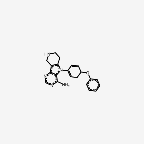 Nc1ncnc2c3c(n(C4=CCC(Oc5ccccc5)C=C4)c12)CCNC3